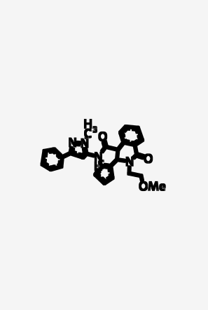 COCCN1C(=O)c2ccccc2C(C(=O)Nc2cc(-c3ccccc3)nn2C)C1c1cccs1